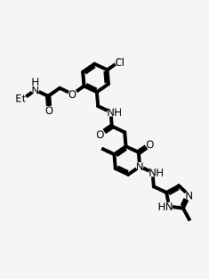 CCNC(=O)COc1ccc(Cl)cc1CNC(=O)Cc1c(C)ccn(NCc2cnc(C)[nH]2)c1=O